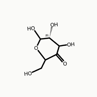 O=C1C(CO)OC(O)[C@H](O)C1O